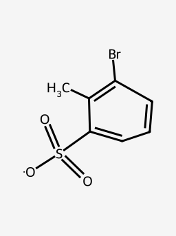 Cc1c(Br)cccc1S([O])(=O)=O